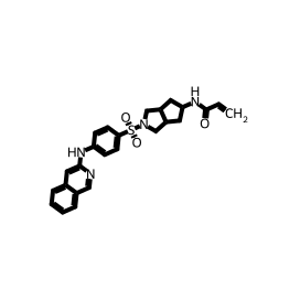 C=CC(=O)NC1CC2CN(S(=O)(=O)c3ccc(Nc4cc5ccccc5cn4)cc3)CC2C1